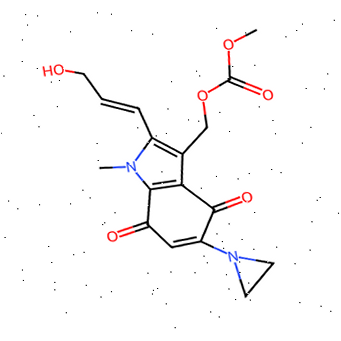 COC(=O)OCc1c2c(n(C)c1/C=C/CO)C(=O)C=C(N1CC1)C2=O